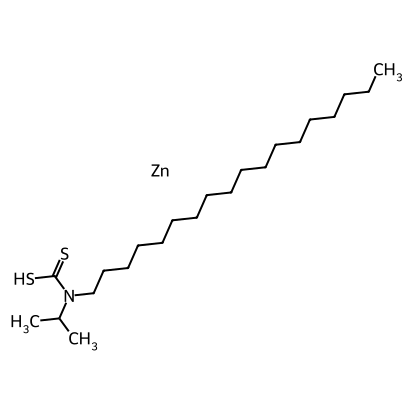 CCCCCCCCCCCCCCCCCCN(C(=S)S)C(C)C.[Zn]